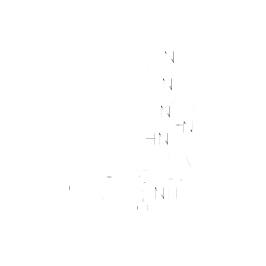 O=S(=O)(Nc1cccc(Nc2nccc(N3C=NC=CC3)n2)c1)c1ccc(Cl)cc1